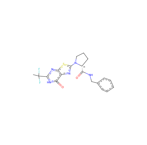 CC(F)(F)c1nc2sc(N3CCC[C@@H]3C(=O)NCc3ccccc3)nc2c(=O)[nH]1